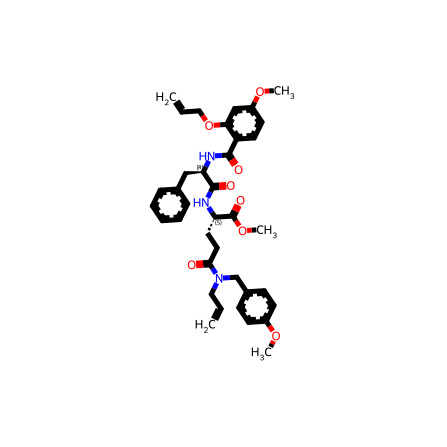 C=CCOc1cc(OC)ccc1C(=O)N[C@H](Cc1ccccc1)C(=O)N[C@@H](CCC(=O)N(CC=C)Cc1ccc(OC)cc1)C(=O)OC